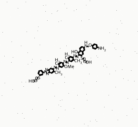 COc1cc(N=Nc2cc3nn(-c4cccc(SOOO)c4)nc3cc2C)c(C)cc1N=Nc1cc(C)c(N=Nc2c(SOOO)cc3cc(NCOc4ccc(N)cc4)ccc3c2O)cc1C